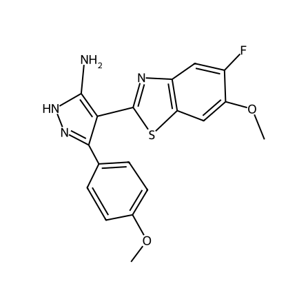 COc1ccc(-c2n[nH]c(N)c2-c2nc3cc(F)c(OC)cc3s2)cc1